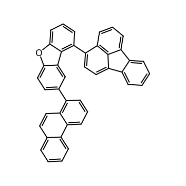 c1ccc2c(c1)-c1cccc3c(-c4cccc5oc6ccc(-c7cccc8c7ccc7ccccc78)cc6c45)ccc-2c13